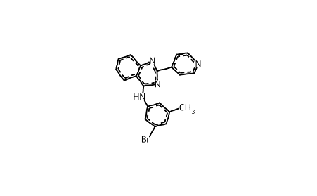 Cc1cc(Br)cc(Nc2nc(-c3ccncc3)nc3ccccc23)c1